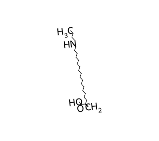 C=C(CCCCCCCCCCCCCCCCCNCCCC)C(=O)O